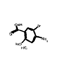 COC(=O)c1cc(Br)c(N)cc1O.Cl